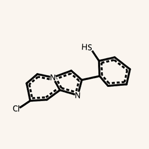 Sc1ccccc1-c1cn2ccc(Cl)cc2n1